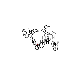 C=CS(=O)(=O)N1CC[C@H](C(=O)N(C)C(C(=O)N[C@H]2Cc3cc(O)cc(c3)-c3ccc4c(c3)c(c(-c3cccnc3COC)n4CC)CC(C)(C)COC(=O)[C@@H]3CCCN(N3)C2=O)C(C)C)C1